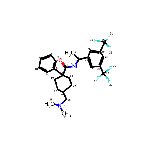 CC(NC(=O)C1(c2ccccc2)CCC(CN(C)C)CC1)c1cc(C(F)(F)F)cc(C(F)(F)F)c1